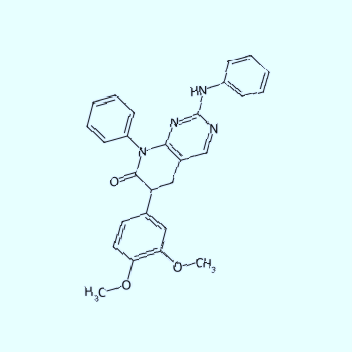 COc1ccc(C2Cc3cnc(Nc4ccccc4)nc3N(c3ccccc3)C2=O)cc1OC